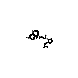 CN(C)CC1=CCC=C1NCCNc1ccnc2cc(Cl)ccc12